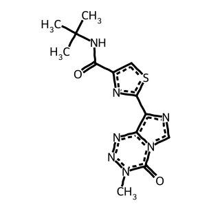 Cn1nnc2c(-c3nc(C(=O)NC(C)(C)C)cs3)ncn2c1=O